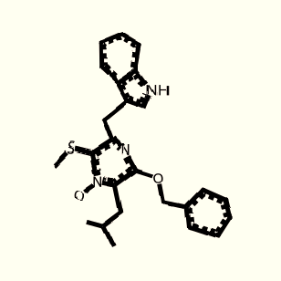 CSc1c(Cc2c[nH]c3ccccc23)nc(OCc2ccccc2)c(CC(C)C)[n+]1[O-]